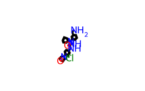 NCc1cccc(N(NC(=O)Nc2ccc(N3CCOCC3)c(Cl)c2)c2ccccc2)c1